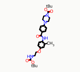 Cc1cc(OCCNC(=O)OC(C)(C)C)ccc1NC(=O)c1ccc(N2CCN(C(=O)OC(C)(C)C)CC2)cc1